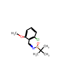 COc1cccc(Cl)c1/C=N\[S+]([O-])C(C)(C)C